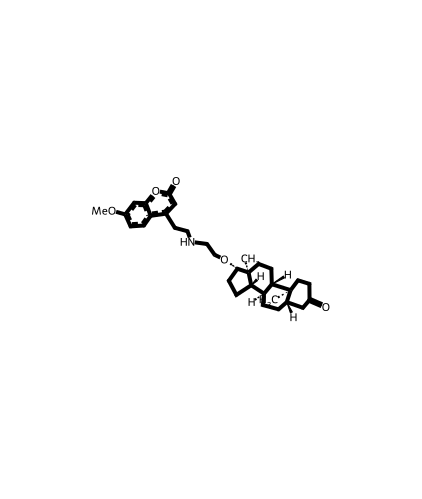 COc1ccc2c(CCNCCO[C@H]3CC[C@H]4[C@@H]5CC[C@H]6CC(=O)CC[C@]6(C)[C@H]5CC[C@]34C)cc(=O)oc2c1